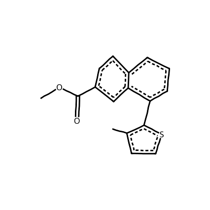 COC(=O)c1ccc2cccc(-c3sccc3C)c2c1